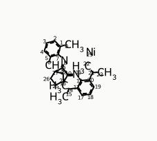 Cc1cccc(C)c1N=C1C(=Nc2c(C(C)C)cccc2C(C)C)C2CCC1C2.[Ni]